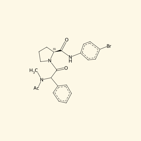 CC(=O)N(C)C(C(=O)N1CCC[C@H]1C(=O)Nc1ccc(Br)cc1)c1ccccc1